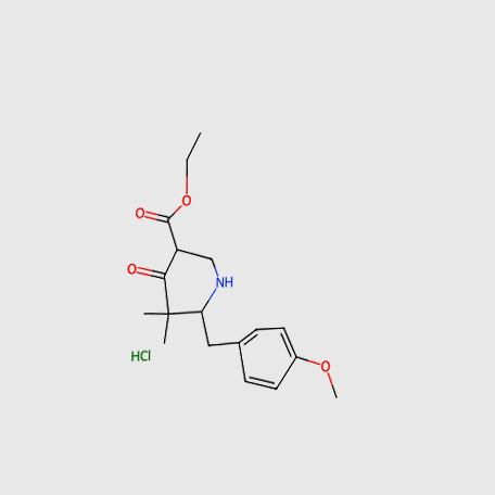 CCOC(=O)C1CNC(Cc2ccc(OC)cc2)C(C)(C)C1=O.Cl